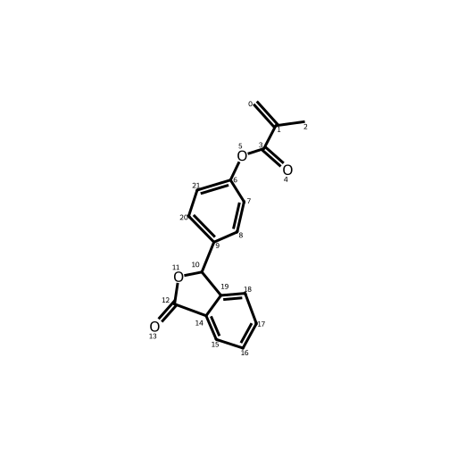 C=C(C)C(=O)Oc1ccc(C2OC(=O)c3ccccc32)cc1